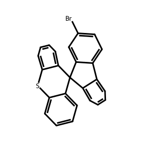 Brc1ccc2c(c1)C1(c3ccccc3Sc3ccccc31)c1ccccc1-2